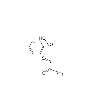 NC(=O)N=S.O=NO.c1ccccc1